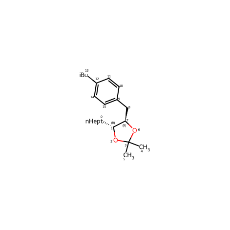 CCCCCCC[C@H]1OC(C)(C)O[C@@H]1Cc1ccc(C(C)CC)cc1